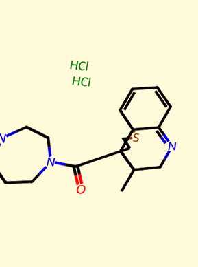 CC1CN=C2C=CC=CC23SCC(C(=O)N2CCCNCC2)C13.Cl.Cl